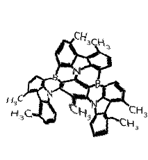 Cc1c2c3c4c5c1-n1c6cccc(C)c6c6c(C)ccc(c61)B5c1ccc(C)c5c6c(C)ccc(c6n-4c15)B3c1ccc(C)c3c4c(C)cccc4n-2c13